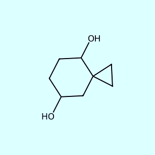 OC1CCC(O)C2(CC2)C1